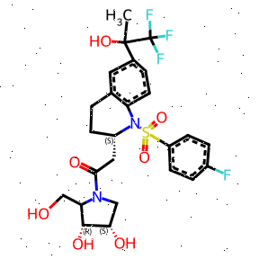 CC(O)(c1ccc2c(c1)CC[C@@H](CC(=O)N1C[C@H](O)[C@H](O)C1CO)N2S(=O)(=O)c1ccc(F)cc1)C(F)(F)F